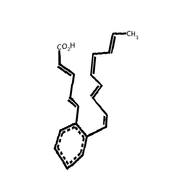 C/C=C/C=C\C=C\C=C/c1ccccc1/C=C/C=C/C(=O)O